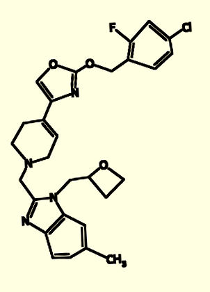 Cc1ccc2nc(CN3CC=C(c4coc(OCc5ccc(Cl)cc5F)n4)CC3)n(CC3CCO3)c2c1